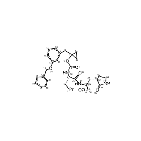 CC(C)C[C@H](NC(=O)OC1(Cc2cccc(OCc3ccccc3)c2)CC1)C(=O)N[C@@H](C[C@@H]1CCNC1=O)C(=O)O